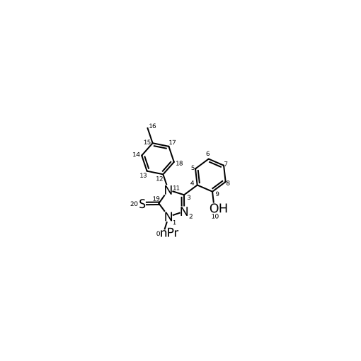 CCCn1nc(-c2ccccc2O)n(-c2ccc(C)cc2)c1=S